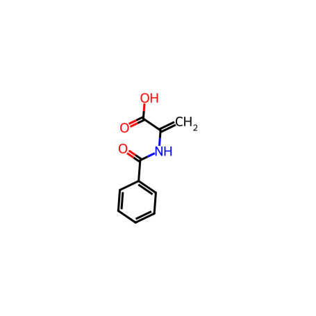 C=C(NC(=O)c1ccccc1)C(=O)O